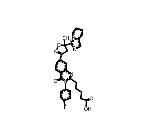 C[C@@]1(c2ncc3ccccn23)CC(c2ccc3c(=O)n(-c4ccc(F)cc4)c(CCCCC(=O)O)nc3c2)=NO1